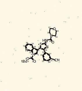 CC(C)(C)OC(=O)n1cc(-c2sc(NC(=O)N3CCOCC3)nc2-c2cccc(C#N)c2)c2cccnc21